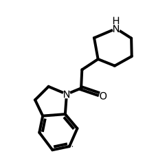 O=C(CC1CCCNC1)N1CCc2cc[c]cc21